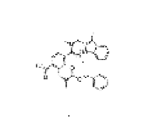 Cc1c(CN(C)C(=O)c2ccc([N+](=O)[O-])c(CN(C)C(=O)OCc3ccccc3)c2)[nH]c2ccccc12